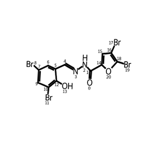 O=C(NN=Cc1cc(Br)cc(Br)c1O)c1cc(Br)c(Br)o1